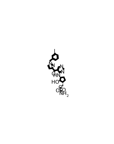 NS(=O)(=O)OC[C@H]1CC[C@@H](Nc2ncncc2C(=O)c2ccn(Cc3cccc(I)c3)n2)[C@@H]1O